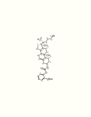 CCCCCCCCCc1ccccc1OC(=O)OC1CC[C@@]2(C)C(=CCC3C2CC[C@@]2(C)C3CC[C@@H]2[C@H](C)CCCC(C)C)C1